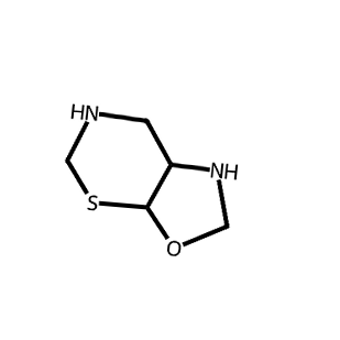 C1NC2CNCSC2O1